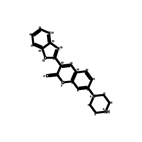 O=c1oc2cc(N3CCNCC3)ccc2cc1-c1nc2ncccc2o1